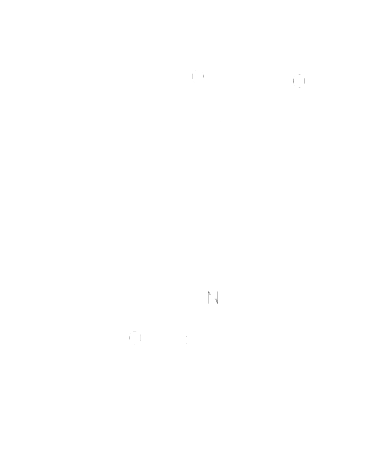 COc1cc2c(cc1OC)C(c1ccccc1)N(C(C)=O)CC2